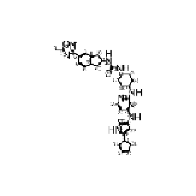 Cc1nc(-c2ccc3c(c2)CC(NC(=O)N[C@H]2CC[C@H](Nc4nccc(Nc5cc(C6CCCC6)[nH]n5)n4)CC2)C3)no1